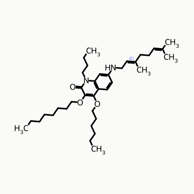 CCCCCCCCOc1c(OCCCCCC)c2ccc(NC/C=C(\C)CCC=C(C)C)cc2n(CCCC)c1=O